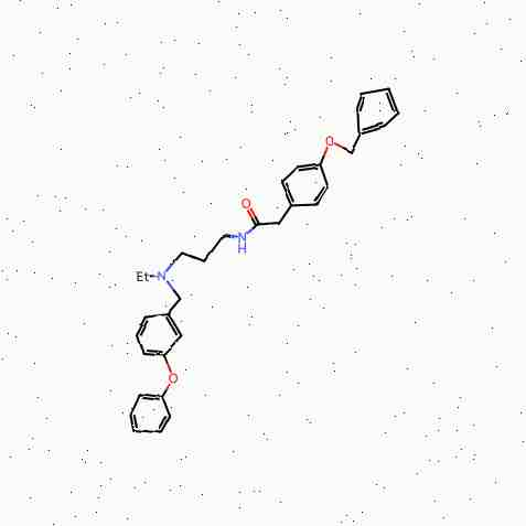 CCN(CCCNC(=O)Cc1ccc(OCc2ccccc2)cc1)Cc1cccc(Oc2ccccc2)c1